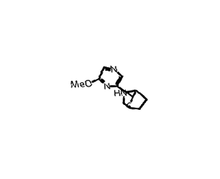 COc1cncc(C2CC3CCC2NC3)n1